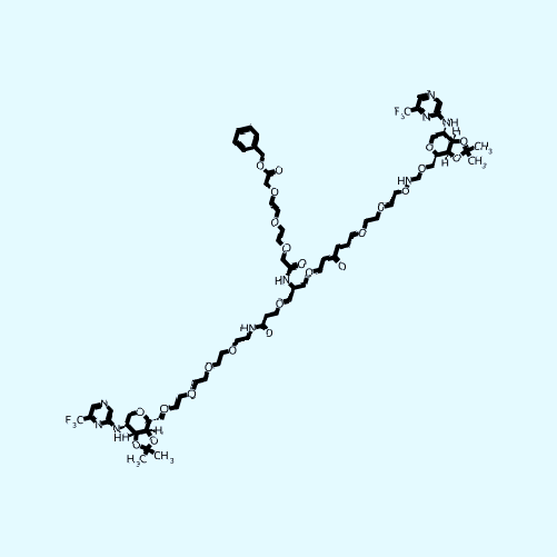 CC1(C)O[C@@H]2[C@H](O1)[C@@H](Nc1cncc(C(F)(F)F)n1)CO[C@@H]2COCCOCCOCCOCCNC(=O)CCOCC(COCCC(=O)CCCOCCOCCONCOC[C@H]1OC[C@H](Nc2cncc(C(F)(F)F)n2)[C@H]2OC(C)(C)O[C@H]21)NC(=O)COCCOCCOCC(=O)OCc1ccccc1